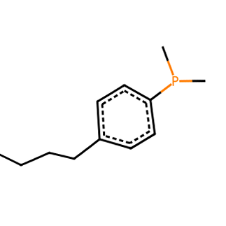 CCCCc1ccc(P(C)C)cc1